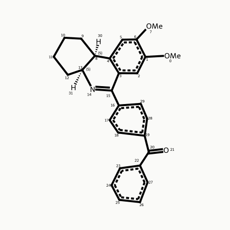 COc1cc2c(cc1OC)[C@@H]1CCCC[C@@H]1N=C2c1ccc(C(=O)c2ccccc2)cc1